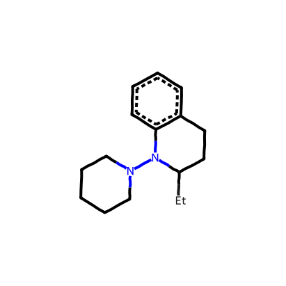 CCC1CCc2ccccc2N1N1CCCCC1